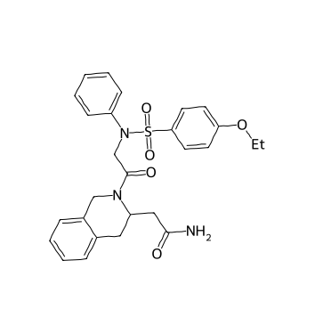 CCOc1ccc(S(=O)(=O)N(CC(=O)N2Cc3ccccc3CC2CC(N)=O)c2ccccc2)cc1